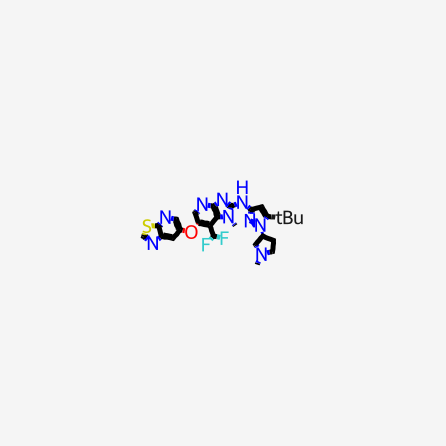 CN1CC[C@H](n2nc(Nc3nc4ncc(Oc5cnc6scnc6c5)c(C(F)F)c4n3C)cc2C(C)(C)C)C1